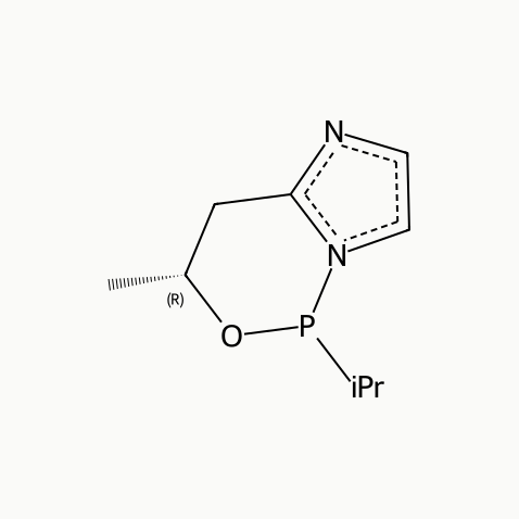 CC(C)P1O[C@H](C)Cc2nccn21